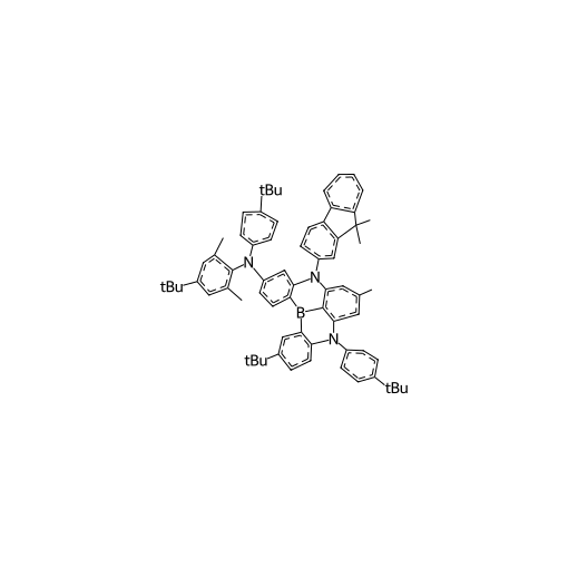 Cc1cc2c3c(c1)N(c1ccc4c(c1)C(C)(C)c1ccccc1-4)c1cc(N(c4ccc(C(C)(C)C)cc4)c4c(C)cc(C(C)(C)C)cc4C)ccc1B3c1cc(C(C)(C)C)ccc1N2c1ccc(C(C)(C)C)cc1